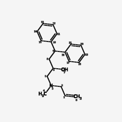 C=CCN(C)CC(O)CC(c1ccccc1)c1ccccc1